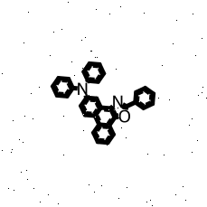 c1ccc(-c2nc3c4cc(N(c5ccccc5)c5ccccc5)ccc4c4ccccc4c3o2)cc1